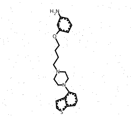 Nc1cccc(OCCCCN2CCN(c3cccc4sccc34)CC2)c1